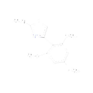 CNc1nc(-c2c(OC)cc(OC)cc2OC)cs1